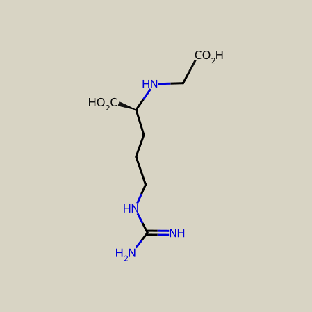 N=C(N)NCCC[C@H](NCC(=O)O)C(=O)O